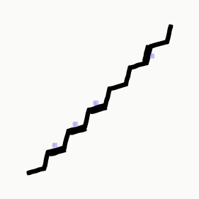 CC/C=C/C=C/C=C/CCC/C=C/CC